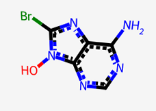 Nc1ncnc2c1nc(Br)n2O